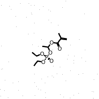 C=C(C)C(=O)OC(C)OP(=O)(OCC)OCC